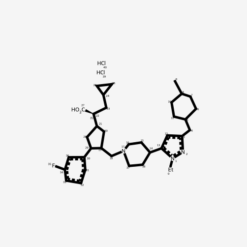 CCn1nc(CC2CCC(C)CC2)cc1C1CCN(CC2CC([C@H](CC3CC3)C(=O)O)CC2c2cccc(F)c2)CC1.Cl.Cl